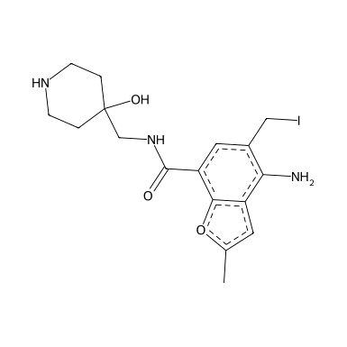 Cc1cc2c(N)c(CI)cc(C(=O)NCC3(O)CCNCC3)c2o1